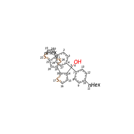 CCCCCCc1ccc(C(O)(c2ccc(CCCCCC)cc2)c2ccsc2-c2cc3sccc3s2)cc1